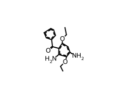 CCOc1cc(N)c(OCC)c(N)c1C(=O)c1ccccc1